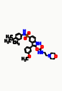 COc1cccc(-c2c(OC(=O)NCCN3CCOCC3)[nH]c3ccc(S(=O)(=O)Nc4ccc(C(C)(C)C)cc4)cc23)c1